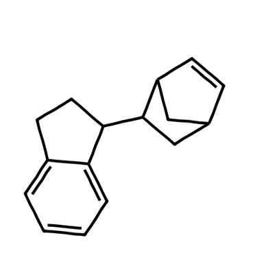 C1=CC2CC1CC2C1CCc2ccccc21